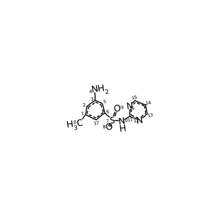 Cc1cc(N)cc(S(=O)(=O)Nc2ncccn2)c1